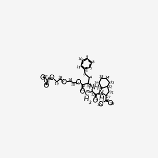 CC(NC(CCc1ccccc1)C(=O)OCCOCCO[N+](=O)[O-])C(=O)N1C(C(=O)O)CC2CCCCC21